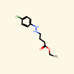 CCOC(=O)CCCNNc1ccc(Cl)cc1